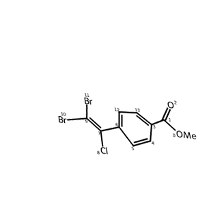 COC(=O)c1ccc(C(Cl)=C(Br)Br)cc1